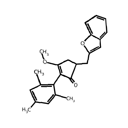 COC1=C(c2c(C)cc(C)cc2C)C(=O)C(Cc2cc3ccccc3o2)C1